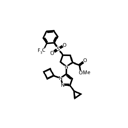 COC(=O)C1CC(S(=O)(=O)c2ccccc2C(F)(F)F)CN1c1cc(C2CC2)nn1C1CCC1